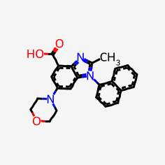 Cc1nc2c(C(=O)O)cc(N3CCOCC3)cc2n1-c1cccc2ccccc12